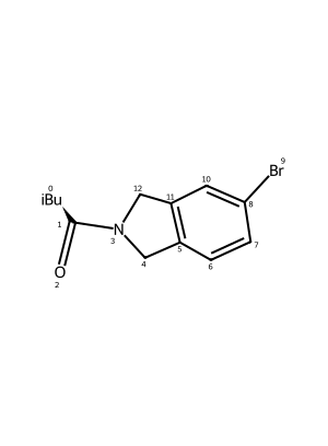 CC[C@H](C)C(=O)N1Cc2ccc(Br)cc2C1